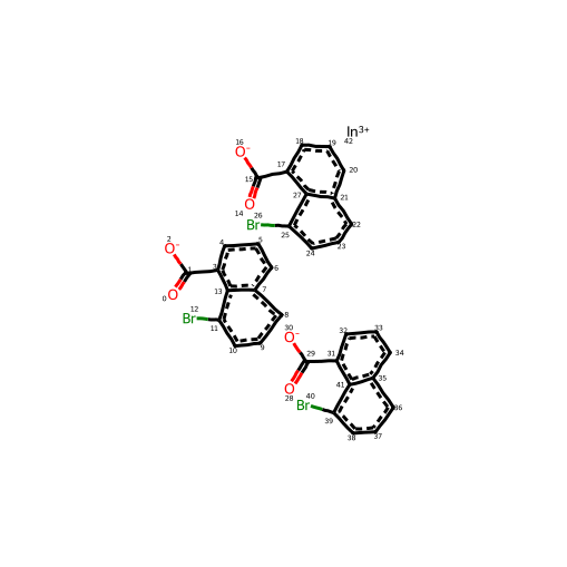 O=C([O-])c1cccc2cccc(Br)c12.O=C([O-])c1cccc2cccc(Br)c12.O=C([O-])c1cccc2cccc(Br)c12.[In+3]